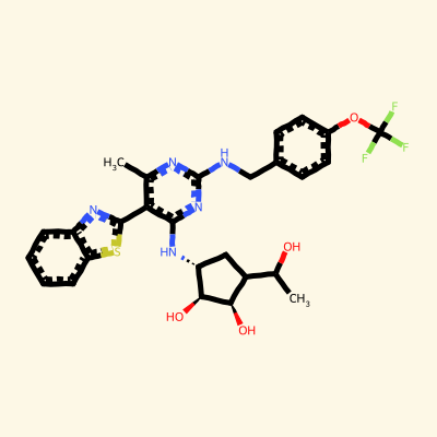 Cc1nc(NCc2ccc(OC(F)(F)F)cc2)nc(N[C@@H]2CC(C(C)O)[C@@H](O)[C@H]2O)c1-c1nc2ccccc2s1